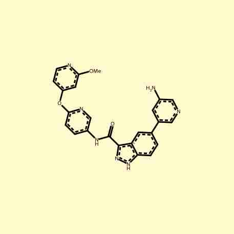 COc1cc(Oc2ccc(NC(=O)c3n[nH]c4ccc(-c5cncc(N)c5)cc34)cn2)ccn1